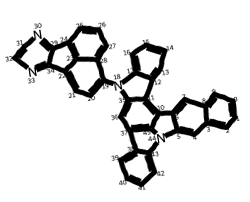 c1ccc2cc3c(cc2c1)c1c2c4ccccc4n(-c4ccc5c6c(cccc46)-c4nccnc4-5)c2cc2c4ccccc4n3c21